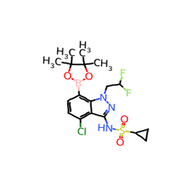 CC1(C)OB(c2ccc(Cl)c3c(NS(=O)(=O)C4CC4)nn(CC(F)F)c23)OC1(C)C